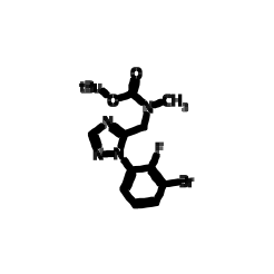 CN(Cc1ncnn1-c1cccc(Br)c1F)C(=O)OC(C)(C)C